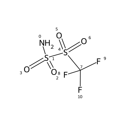 NS(=O)(=O)S(=O)(=O)C(F)(F)F